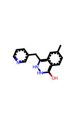 Cc1ccc2c(c1)=C(Cc1cccnc1)NNC=2O